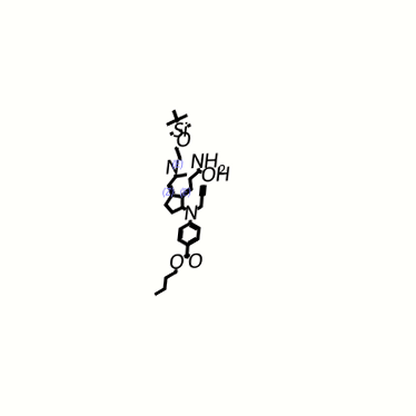 C#CCN(c1ccc(C(=O)OCCCC)cc1)C1CCC(=C/C(C)/N=C/CO[Si](C)(C)C(C)(C)C)/C1=C\CC(N)O